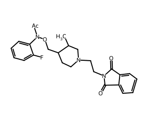 CC(=O)N(OCC1CCN(CCN2C(=O)c3ccccc3C2=O)CC1C)c1ccccc1F